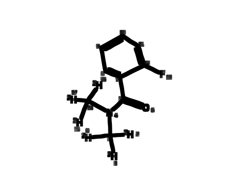 [2H]C([2H])([2H])N(C(=O)c1ccccc1F)C([2H])([2H])[2H]